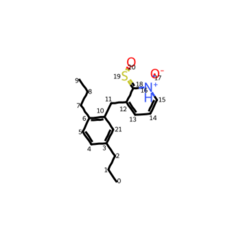 CCCc1ccc(CCC)c(CC2=CC=C[NH+]([O-])C2=S=O)c1